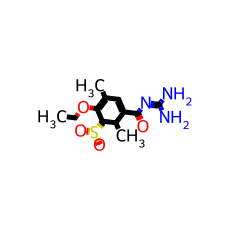 CCOC1=C(C)C=C(C(=O)N=C(N)N)C(C)C1=S(=O)=O